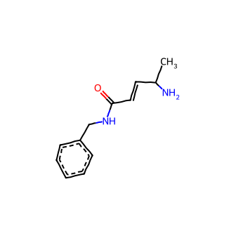 CC(N)C=CC(=O)NCc1ccccc1